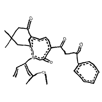 C=C/C(=C(\C)OC)n1c2c(cc(C(=O)CC(=O)c3ccccc3)c1=O)C(=O)CC(C)(C)C2